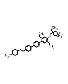 CCc1cc(-c2ccc(-c3ccc(CCC4CCC(C)CC4)cc3)cc2)c(CC)cc1OCC(CC)(CC)CC